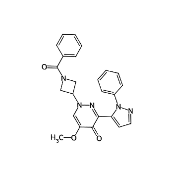 COc1cn(C2CN(C(=O)c3ccccc3)C2)nc(-c2ccnn2-c2ccccc2)c1=O